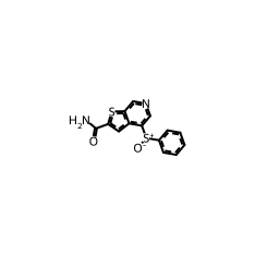 NC(=O)c1cc2c([S+]([O-])c3ccccc3)cncc2s1